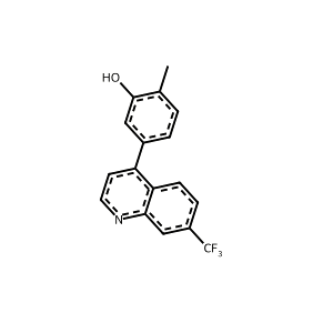 Cc1ccc(-c2ccnc3cc(C(F)(F)F)ccc23)cc1O